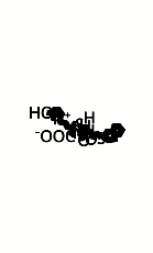 O=C(CSc1ccc2ccccc2c1)N[C@@H]1C(=O)N2C(C(=O)[O-])=C(C=CC[n+]3cccc(O)c3)CS[C@H]12